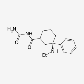 CCN[C@]1(c2ccccc2)CCCC(C(=O)NC(N)=O)C1